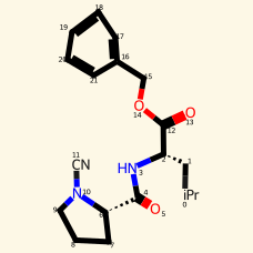 CC(C)C[C@H](NC(=O)[C@@H]1CCCN1C#N)C(=O)OCc1ccccc1